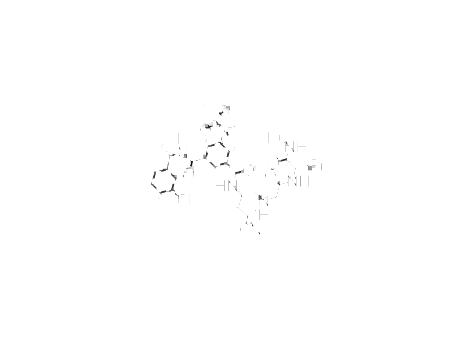 CCNC(=O)[C@@H](NC(=O)[C@H](C)NC[C@H](CCC#N)NC(=O)c1cc(C(=O)N[C@H](C)c2cccc(Cl)c2)cc(N(C)S(C)(=O)=O)c1)C(C)C